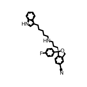 N#Cc1ccc2c(c1)CO[C@@]2(CCCNCCCCCc1c[nH]c2ccccc12)c1ccc(F)cc1